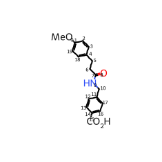 COc1ccc(CCC(=O)NCc2ccc(C(=O)O)cc2)cc1